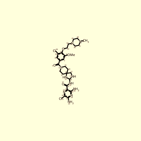 COc1cc(C(=O)N2CCC3(CC2)CNC(NC(=O)c2nc(Cl)c(N)nc2N)N3)cc(Cl)c1OCCN1CCN(C)CC1